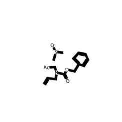 C=CCN(CC(C)=O)C(=O)OCc1ccccc1.C[S+](C)[O-]